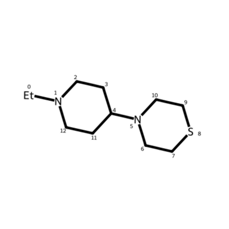 CCN1CCC(N2CCSCC2)CC1